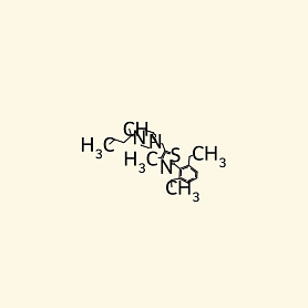 CCCC(C)N1CCN(Cc2sc(-c3c(CC)cccc3CC)nc2C)CC1